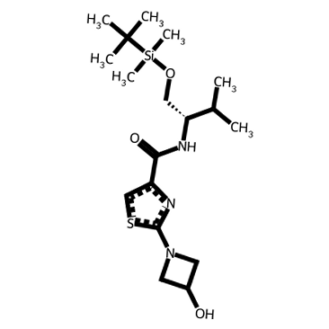 CC(C)[C@@H](CO[Si](C)(C)C(C)(C)C)NC(=O)c1csc(N2CC(O)C2)n1